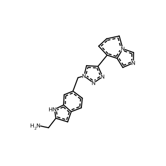 NCc1cc2ccc(Cn3cc(-c4cccn5cncc45)nn3)cc2[nH]1